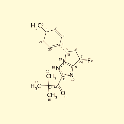 CC1C=CC([C@@H]2C[C@H](F)c3nc(C(=O)C(C)(C)C)nn32)=CC1